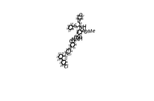 CONc1cc(S(=O)(=O)Nc2noc3cc(N4CCN(Cc5ccccc5-c5ccc(Cl)cc5)CC4)ccc23)ccc1N[C@H](CCN1CCOCC1)CSc1ccccc1